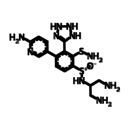 NCC(CN)N[S+]([O-])c1ccc(-c2ccc(N)nc2)c(C2=NNNN2)c1SN